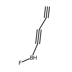 C#CC#CBF